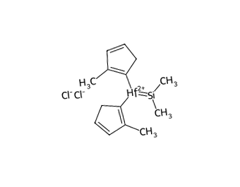 CC1=[C]([Hf+2]([C]2=C(C)C=CC2)=[Si](C)C)CC=C1.[Cl-].[Cl-]